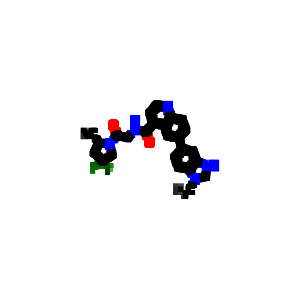 CN1CNc2cc(-c3ccc4nccc(C(=O)NCC(=O)N5CC(F)(F)CC5C#N)c4c3)ccc21